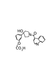 O=C(O)COc1cccc(C2(O)CCN(C(=O)c3ccnc4ccccc34)CC2)c1